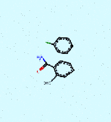 Fc1ccccc1.NC(=O)c1ccccc1C=O